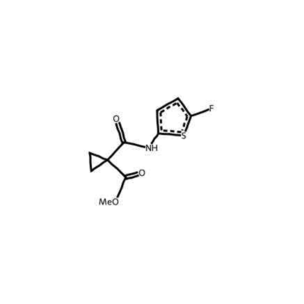 COC(=O)C1(C(=O)Nc2ccc(F)s2)CC1